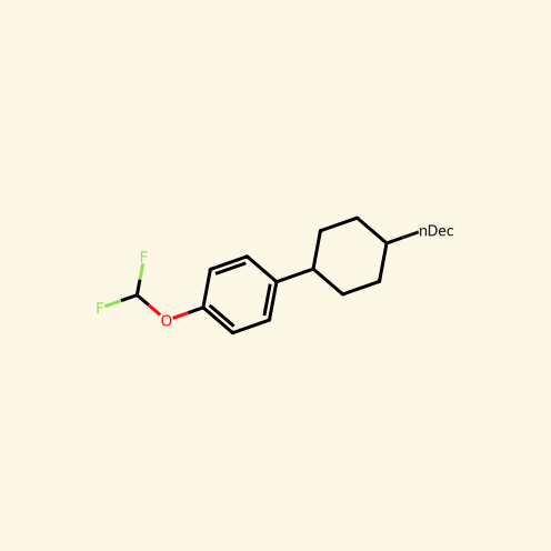 CCCCCCCCCCC1CCC(c2ccc(OC(F)F)cc2)CC1